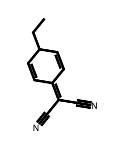 CCC1C=CC(=C(C#N)C#N)C=C1